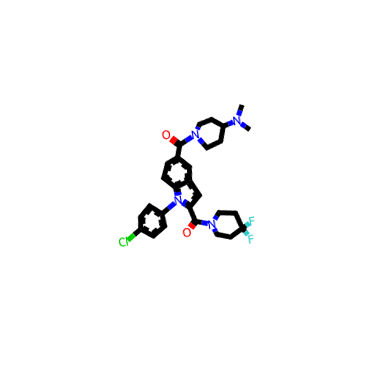 CN(C)C1CCN(C(=O)c2ccc3c(c2)cc(C(=O)N2CCC(F)(F)CC2)n3-c2ccc(Cl)cc2)CC1